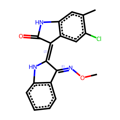 CO/N=C1/C(=C2/C(=O)Nc3cc(C)c(Cl)cc32)Nc2ccccc21